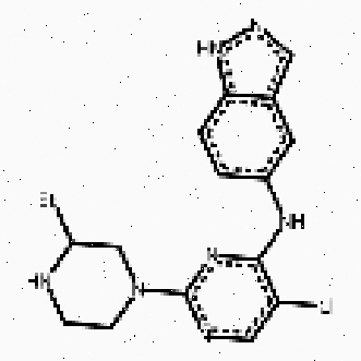 CCC1CN(c2ncc(Cl)c(Nc3ccc4[nH]ncc4c3)n2)CCN1